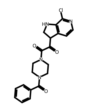 O=C(C(=O)N1CCN(C(=O)c2ccccc2)CC1)C1CNc2c1ccnc2Cl